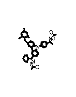 CC(=O)ON=C(C)c1ccc(-n2c3ccc(Cc4c(C)cc(C)cc4C)cc3c3cc(C(=NOC(C)=O)c4ccccc4)ccc32)cc1